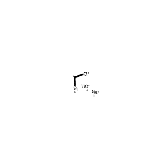 CCCCl.[Na+].[OH-]